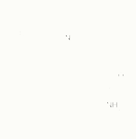 NC(=O)C[CH]c1ccc(C(F)(F)F)cn1